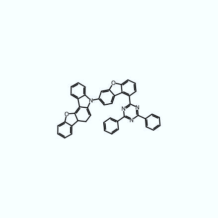 C1=c2c(c3ccccc3n2-c2ccc3c(c2)oc2cccc(-c4nc(-c5ccccc5)nc(-c5ccccc5)n4)c23)=C2Oc3ccccc3C2C1